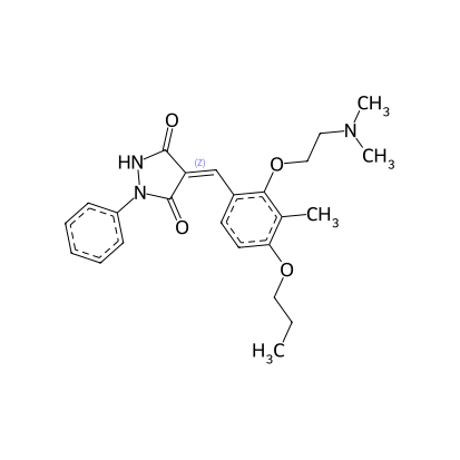 CCCOc1ccc(/C=C2/C(=O)NN(c3ccccc3)C2=O)c(OCCN(C)C)c1C